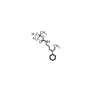 CCN(CCCNC(=O)OC(C)(C)C)c1ccccc1